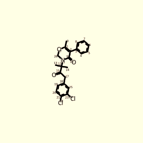 CC1=C(c2ccccc2)C(=O)N(C(C)(C)C(=O)Cc2ccc(Cl)c(Cl)c2)CO1